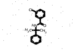 CC(C)(NC(=O)c1cccc(Cl)c1)c1ccccc1